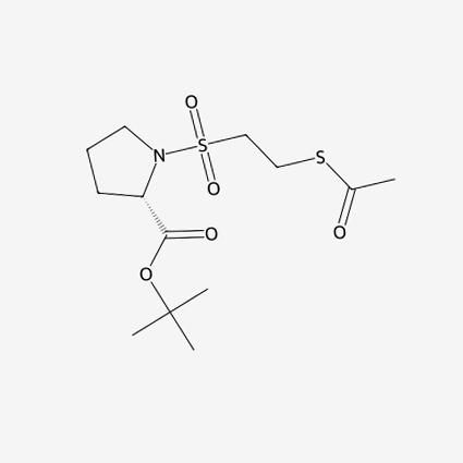 CC(=O)SCCS(=O)(=O)N1CCC[C@H]1C(=O)OC(C)(C)C